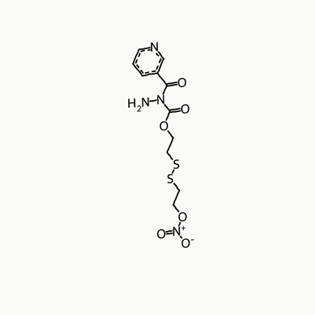 NN(C(=O)OCCSSCCO[N+](=O)[O-])C(=O)c1cccnc1